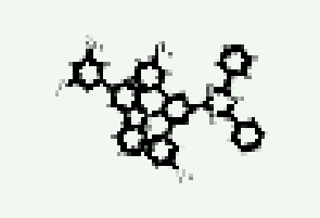 FC(F)(F)c1cccc(-c2cc(-c3nc(-c4ccccc4)nc(-c4ccccc4)n3)cc(-c3cccc(C(F)(F)F)c3)c2-n2c3ccccc3c3cc(-c4cc(C(F)(F)F)cc(C(F)(F)F)c4)ccc32)c1